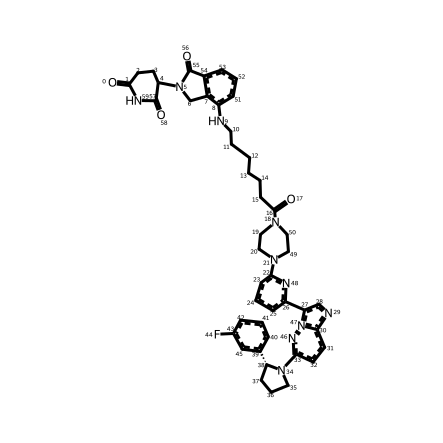 O=C1CCC(N2Cc3c(NCCCCCCC(=O)N4CCN(c5cccc(-c6cnc7ccc(N8CCC[C@@H]8c8cccc(F)c8)nn67)n5)CC4)cccc3C2=O)C(=O)N1